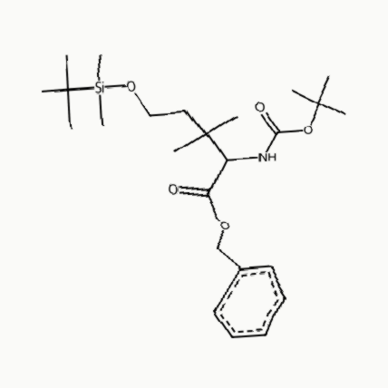 CC(C)(C)OC(=O)NC(C(=O)OCc1ccccc1)C(C)(C)CCO[Si](C)(C)C(C)(C)C